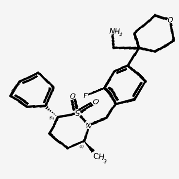 C[C@H]1CC[C@H](c2ccccc2)S(=O)(=O)N1Cc1ccc(C2(CN)CCOCC2)cc1F